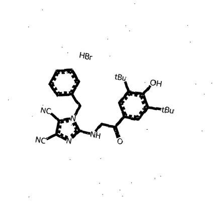 Br.CC(C)(C)c1cc(C(=O)CNc2nc(C#N)c(C#N)n2Cc2ccccc2)cc(C(C)(C)C)c1O